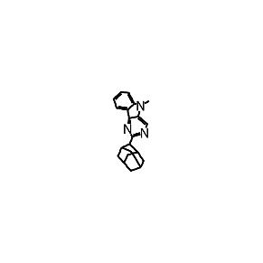 Cn1c2ccccc2c2nc(C3C4CC5CC(C4)CC3C5)ncc21